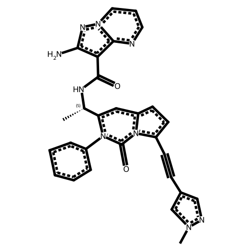 C[C@H](NC(=O)c1c(N)nn2cccnc12)c1cc2ccc(C#Cc3cnn(C)c3)n2c(=O)n1-c1ccccc1